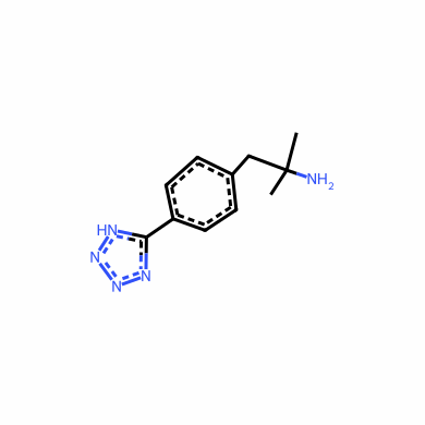 CC(C)(N)Cc1ccc(-c2nnn[nH]2)cc1